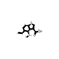 C=Cc1ccc2scc(C(=O)O)c2c1SC